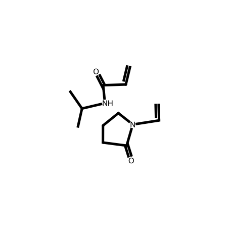 C=CC(=O)NC(C)C.C=CN1CCCC1=O